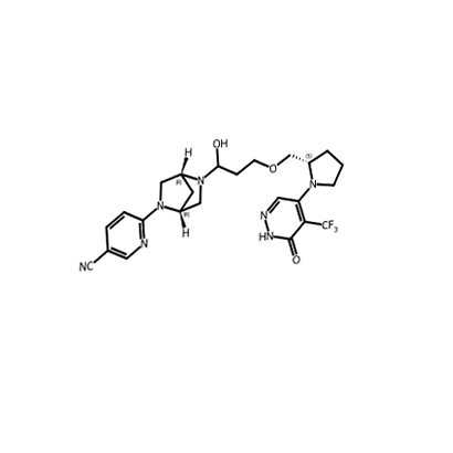 N#Cc1ccc(N2C[C@H]3C[C@@H]2CN3C(O)CCOC[C@@H]2CCCN2c2cn[nH]c(=O)c2C(F)(F)F)nc1